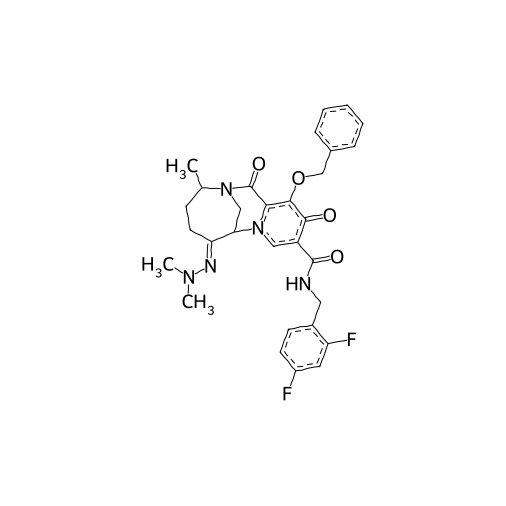 CC1CCC(=NN(C)C)C2CN1C(=O)c1c(OCc3ccccc3)c(=O)c(C(=O)NCc3ccc(F)cc3F)cn12